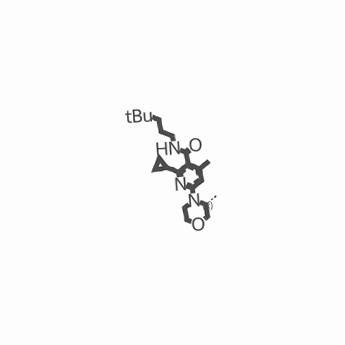 Cc1cc(N2CCOC[C@H]2C)nc(C2CC2)c1C(=O)NCCCC(C)(C)C